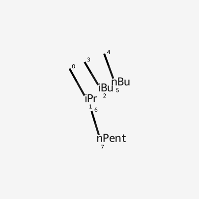 CC(C)C.CCC(C)C.CCCCC.CCCCCC